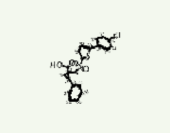 O=C(O)C1(CS(=O)(=O)C2CC=C(c3ccc(Cl)cc3)S2)CC1c1ccccc1